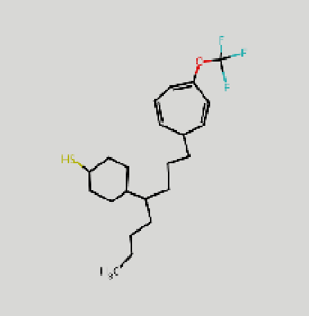 CCCCC(CCCC1C=CC=C(OC(F)(F)F)C=C1)C1CCC(S)CC1